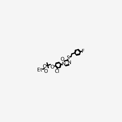 CCC(=O)OC(C)(C)COc1ccc(-n2ccnc(SCCc3ccc(F)cc3)c2=O)cc1Cl